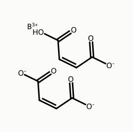 O=C([O-])/C=C\C(=O)O.O=C([O-])/C=C\C(=O)[O-].[B+3]